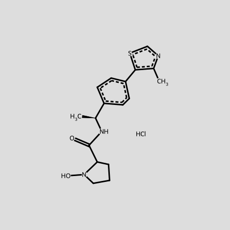 Cc1ncsc1-c1ccc([C@H](C)NC(=O)C2CCCN2O)cc1.Cl